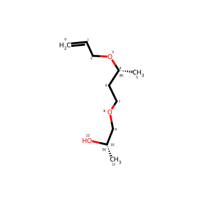 C=CCO[C@H](C)CCOC[C@H](C)O